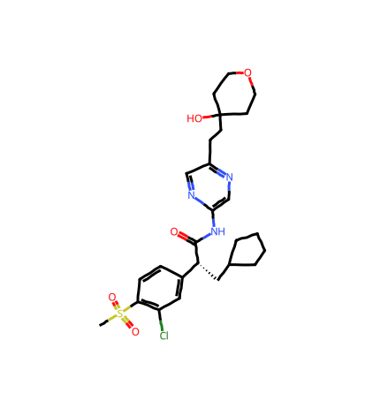 CS(=O)(=O)c1ccc([C@@H](CC2CCCC2)C(=O)Nc2cnc(CCC3(O)CCOCC3)cn2)cc1Cl